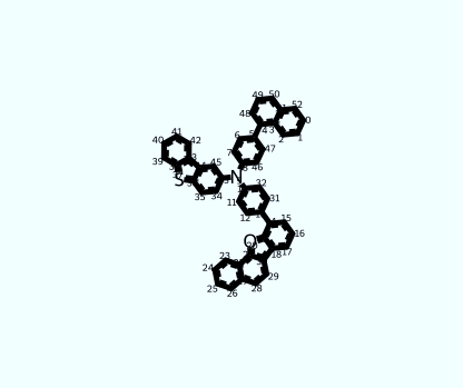 c1ccc2c(-c3ccc(N(c4ccc(-c5cccc6c5oc5c7ccccc7ccc65)cc4)c4ccc5sc6ccccc6c5c4)cc3)cccc2c1